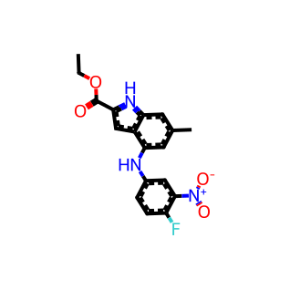 CCOC(=O)c1cc2c(Nc3ccc(F)c([N+](=O)[O-])c3)cc(C)cc2[nH]1